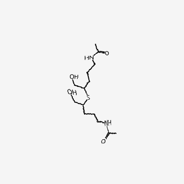 CC(=O)NCCCC(CO)SC(CO)CCCNC(C)=O